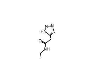 [CH2]CNC(=O)Cc1nnn[nH]1